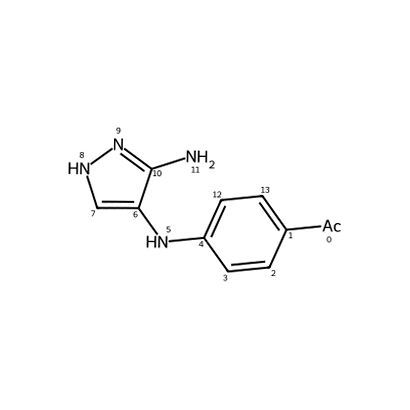 CC(=O)c1ccc(Nc2c[nH]nc2N)cc1